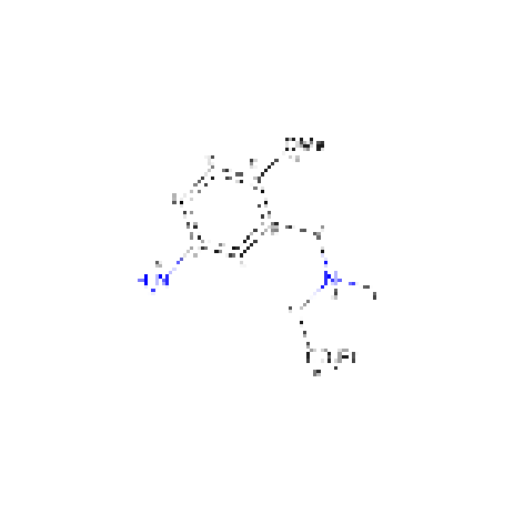 CCOC(=O)CN(C)Cc1cc(N)ccc1OC